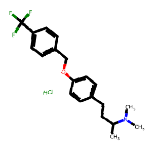 CC(CCc1ccc(OCc2ccc(C(F)(F)F)cc2)cc1)N(C)C.Cl